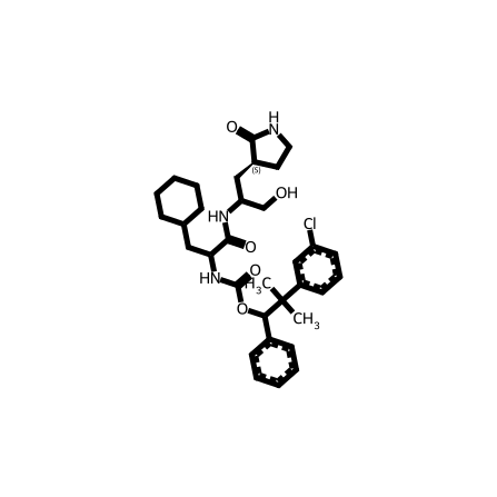 CC(C)(c1cccc(Cl)c1)C(OC(=O)NC(CC1CCCCC1)C(=O)NC(CO)C[C@@H]1CCNC1=O)c1ccccc1